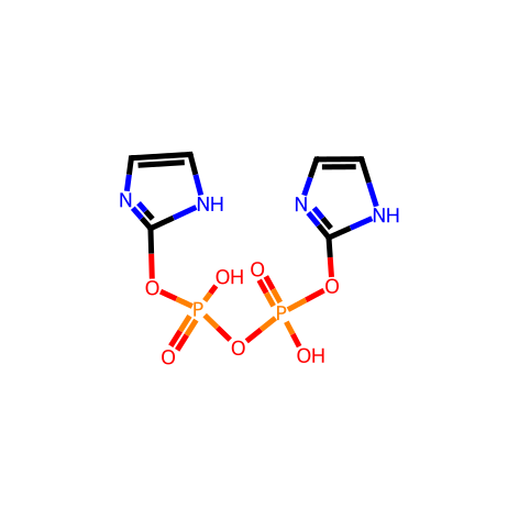 O=P(O)(Oc1ncc[nH]1)OP(=O)(O)Oc1ncc[nH]1